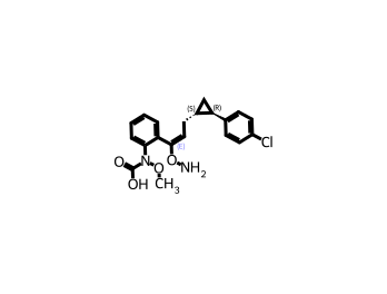 CON(C(=O)O)c1ccccc1/C(=C\C[C@@H]1C[C@H]1c1ccc(Cl)cc1)ON